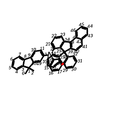 CC1(C)c2ccccc2-c2ccc(N(c3ccccc3)c3cccc4c3C(c3ccccc3)(c3ccccc3)c3ccc5ccccc5c3-4)cc21